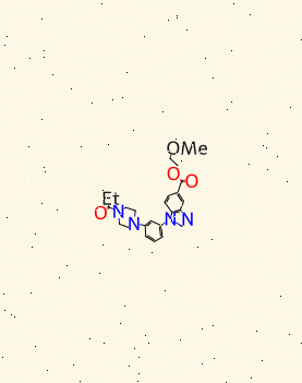 CCC(=O)N1CCN(c2cccc(-n3cnc4cc(C(=O)OCCOC)ccc43)c2)CC1